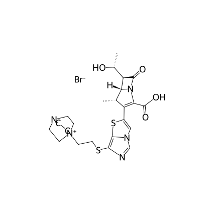 C[C@@H](O)[C@H]1C(=O)N2C(C(=O)O)=C(c3cn4cnc(SCC[N+]56CCN(CC5)CC6)c4s3)[C@H](C)[C@H]12.[Br-]